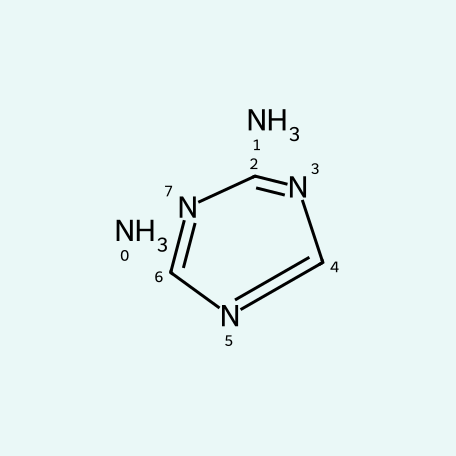 N.N.c1ncncn1